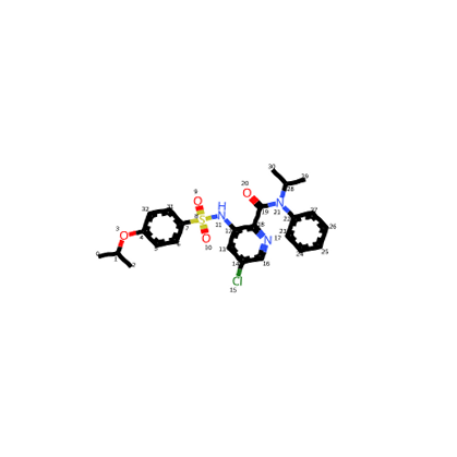 CC(C)Oc1ccc(S(=O)(=O)Nc2cc(Cl)cnc2C(=O)N(c2ccccc2)C(C)C)cc1